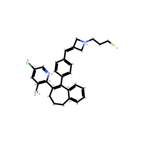 FCCCN1CC(=Cc2ccc(C3=C(c4ncc(Cl)cc4C(F)(F)F)CCCc4ccccc43)cc2)C1